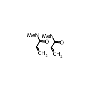 C=CC(=O)NC.C=CC(=O)NC